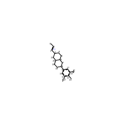 C/C=C/C1CCC2CC(c3cc(F)c(C)c(F)c3)CCC2C1